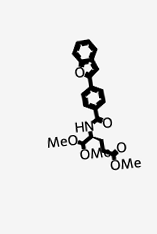 COC(=O)CC[C@H](NC(=O)c1ccc(-c2cc3ccccc3o2)cc1)C(OC)OC